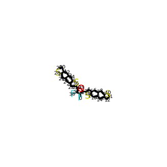 Fc1c(-c2cc3cc4cc5sccc5cc4cc3s2)oc(-c2cc3cc4cc5sccc5cc4cc3s2)c1F